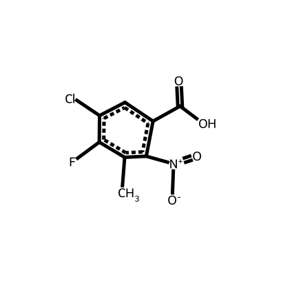 Cc1c(F)c(Cl)cc(C(=O)O)c1[N+](=O)[O-]